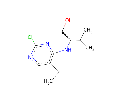 CCc1cnc(Cl)nc1N[C@@H](CO)C(C)C